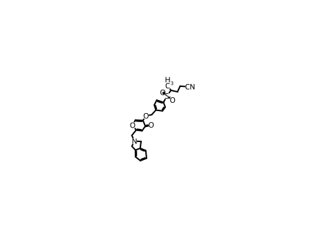 CC(CCC#N)S(=O)(=O)c1ccc(COc2coc(CN3Cc4ccccc4C3)cc2=O)cc1